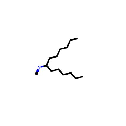 C=NC(CCCCCC)CCCCCC